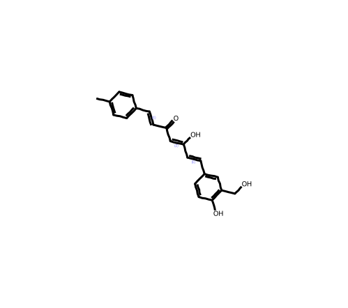 Cc1ccc(/C=C/C(=O)/C=C(O)/C=C/c2ccc(O)c(CO)c2)cc1